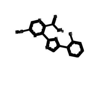 COc1cnc(C(N)=O)c(-c2nc(-c3ccccc3Cl)cs2)n1